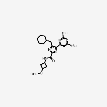 CC(C)(C)c1cc(-c2sc(C(=O)NC3CC(OC=O)C3)nc2CC2CCCCC2)nc(C(C)(C)C)n1